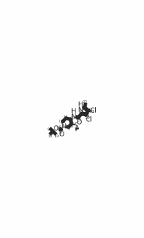 CS[C@H]1CN(C(=O)OC(C)(C)C)CCC1NC(=O)c1[nH]c(C)c(Cl)c1Cl